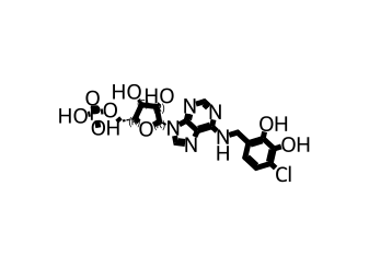 O=P(O)(O)OC[C@H]1O[C@@H](n2cnc3c(NCc4ccc(Cl)c(O)c4O)ncnc32)[C@H](O)[C@@H]1O